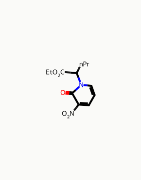 CCCC(C(=O)OCC)n1cccc([N+](=O)[O-])c1=O